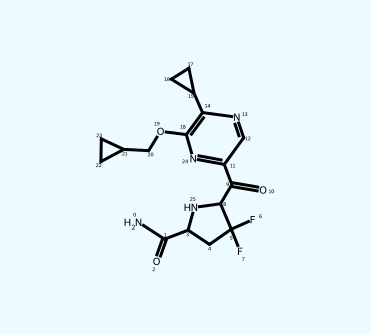 NC(=O)C1CC(F)(F)C(C(=O)c2cnc(C3CC3)c(OCC3CC3)n2)N1